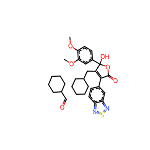 COc1ccc(C2(O)OC(=O)C(c3ccc4nsnc4c3)=C2CC2CCCCC2)cc1OC.O=CC1CCCCC1